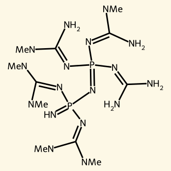 CNC(N)=NP(N=C(N)N)(N=C(N)NC)=NP(=N)(N=C(NC)NC)N=C(NC)NC